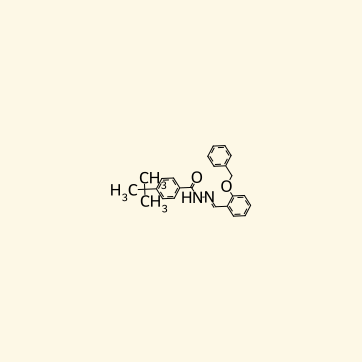 CC(C)(C)c1ccc(C(=O)NN=Cc2ccccc2OCc2ccccc2)cc1